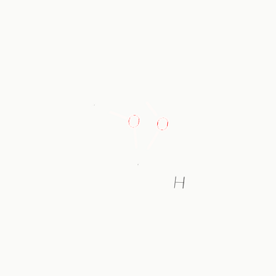 C1CC2CO[C@@H](C1)O2